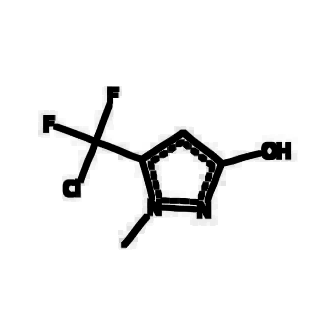 Cn1nc(O)cc1C(F)(F)Cl